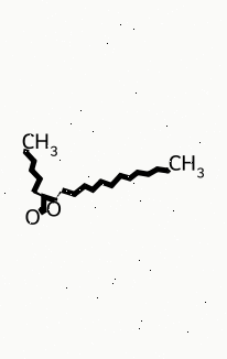 CCCCCCCCCCCCC[C@@H]1OC(=O)[C@H]1CCCCCC